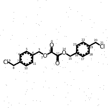 O=C(OCc1ccc(CCl)cc1)C(=O)OCc1ccc(CCl)cc1